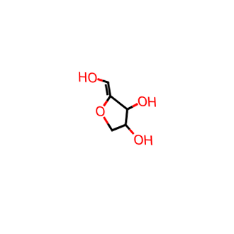 OC=C1OCC(O)C1O